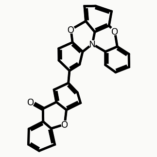 O=c1c2ccccc2oc2ccc(-c3ccc4c(c3)N3c5ccccc5Oc5cccc(c53)O4)cc12